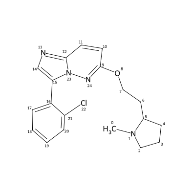 CN1CCCC1CCOc1ccc2ncc(-c3ccccc3Cl)n2n1